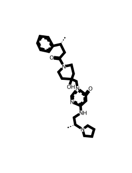 C[C@H](CC(=O)N1CCC(O)(Cn2cnc(NC[C@@H](C)N3CCCC3)cc2=O)CC1)c1ccccc1